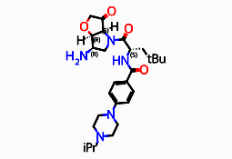 CC(C)N1CCN(c2ccc(C(=O)N[C@@H](CC(C)(C)C)C(=O)N3C[C@@H](N)[C@H]4OCC(=O)[C@H]43)cc2)CC1